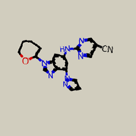 N#Cc1cnc(Nc2cc(-n3cccn3)c3ncn(C4CCCCO4)c3c2)nc1